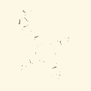 CC(C)(C)OC(=O)CN1CCN(CC(=O)OC(C)(C)C)CCN(CC(=O)N2CCc3ccc(C(=O)O)cc3C2)CCN(CC(=O)OC(C)(C)C)CC1